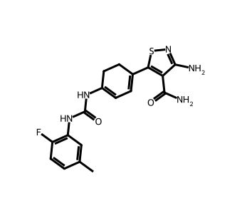 Cc1ccc(F)c(NC(=O)NC2=CC=C(c3snc(N)c3C(N)=O)CC2)c1